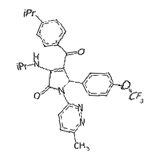 Cc1ccc(N2C(=O)C(NC(C)C)=C(C(=O)c3ccc(C(C)C)cc3)C2c2ccc(OC(F)(F)F)cc2)nn1